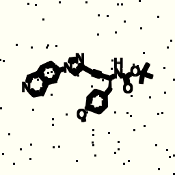 COc1ccc(C[C@@H](C#Cc2cn(-c3ccc4cnccc4c3)cn2)NC(=O)OC(C)(C)C)cc1